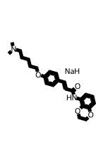 CN(C)CCCCCOc1ccc(C=CC(=O)Nc2cccc3c2OCCO3)cc1.[NaH]